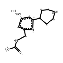 Cl.Cl.O=C(NCc1cccc(C2CCNCC2)n1)C(F)(F)F